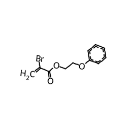 C=C(Br)C(=O)OCCOc1ccccc1